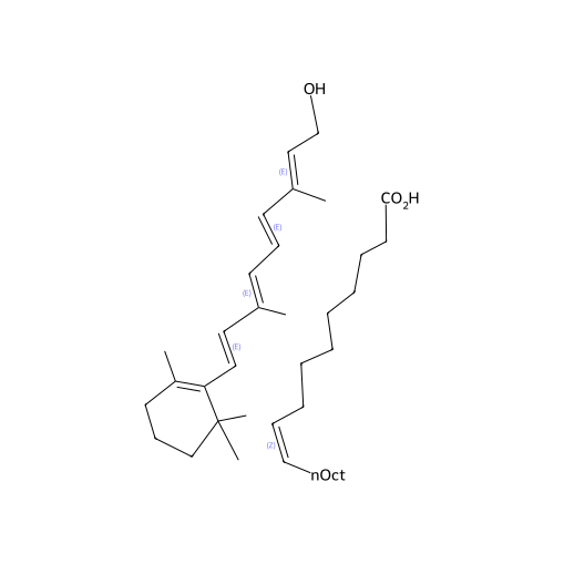 CC1=C(/C=C/C(C)=C/C=C/C(C)=C/CO)C(C)(C)CCC1.CCCCCCCC/C=C\CCCCCCCC(=O)O